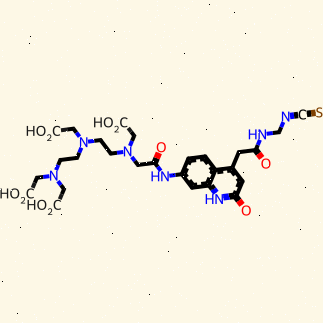 O=C(O)CN(CCN(CC(=O)O)CC(=O)O)CCN(CC(=O)O)CC(=O)Nc1ccc2c(CC(=O)NCN=C=S)cc(=O)[nH]c2c1